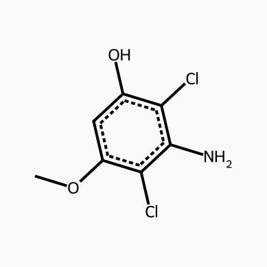 COc1cc(O)c(Cl)c(N)c1Cl